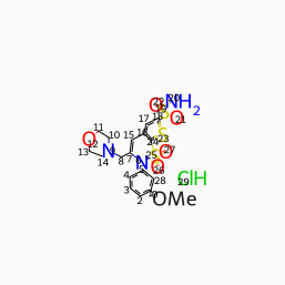 COc1cccc(N2C(CN3CCOCC3)=Cc3cc(S(N)(=O)=O)sc3S2(=O)=O)c1.Cl